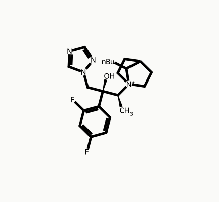 CCCCC1C2CC[N+]1([C@@H](C)[C@@](O)(Cn1cncn1)c1ccc(F)cc1F)CC2